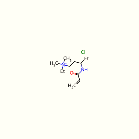 C=CC(=O)NC(CC)CC[N+](C)(C)CC.[Cl-]